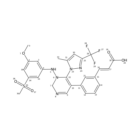 COc1cc(NN2CN=CC(c3cccc(C=CC(=O)O)c3)=C2n2nc(C(F)(F)F)cc2C)cc(S(C)(=O)=O)c1